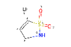 O=S1(=O)C=CCN1.[Li]